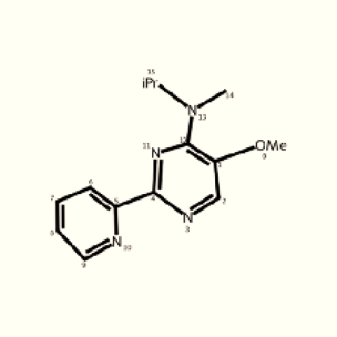 COc1cnc(-c2ccccn2)nc1N(C)C(C)C